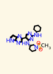 CS(=O)(=O)N1CCC[C@H](Nc2nc(NC3CCCCC3)ncc2-c2cnc3[nH]ccc3n2)C1